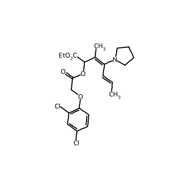 CC=CC(=C(C)C(OC(=O)COc1ccc(Cl)cc1Cl)C(=O)OCC)N1CCCC1